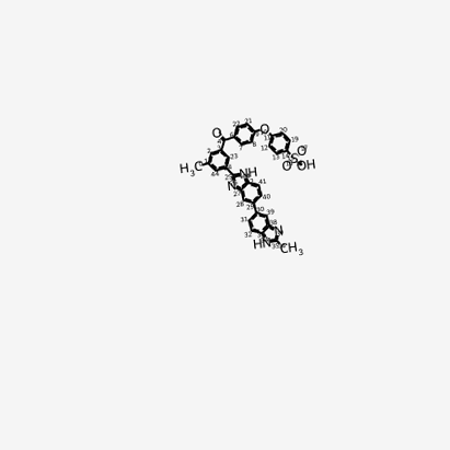 Cc1cc(C(=O)c2ccc(Oc3ccc(S(=O)(=O)O)cc3)cc2)cc(-c2nc3cc(-c4ccc5[nH]c(C)nc5c4)ccc3[nH]2)c1